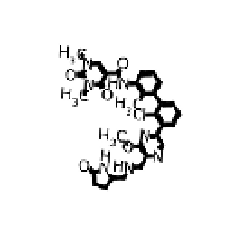 COc1nc(-c2cccc(-c3cccc(NC(=O)c4cn(C)c(=O)n(C)c4=O)c3C)c2Cl)cnc1CNCC1CCC(=O)N1